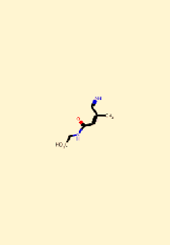 C/C(C=N)=C/C(=O)NCC(=O)O